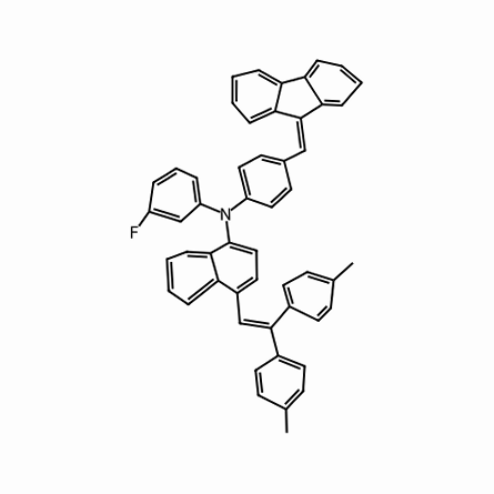 Cc1ccc(C(=Cc2ccc(N(c3ccc(C=C4c5ccccc5-c5ccccc54)cc3)c3cccc(F)c3)c3ccccc23)c2ccc(C)cc2)cc1